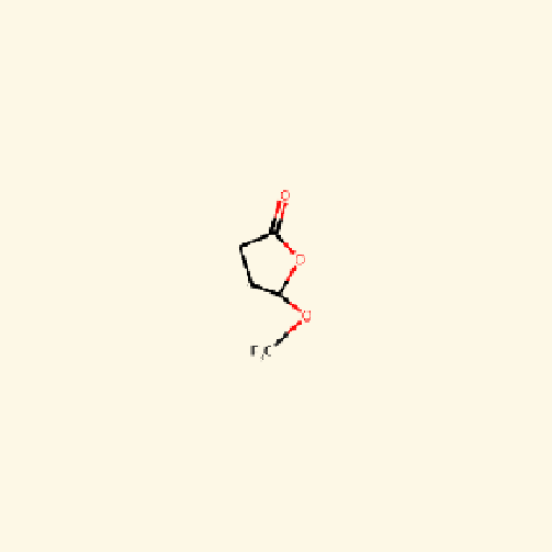 O=C1C[CH]C(OC(F)(F)F)O1